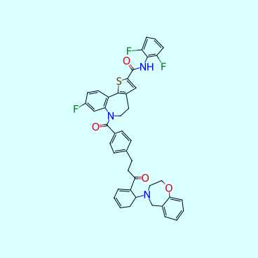 O=C(CCc1ccc(C(=O)N2CCc3cc(C(=O)Nc4c(F)cccc4F)sc3-c3ccc(F)cc32)cc1)C1=CC=CCC1N1CCOc2ccccc2C1